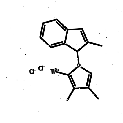 CC1=Cc2ccccc2C1p1cc(C)c(C)[c]1[Ti+2].[Cl-].[Cl-]